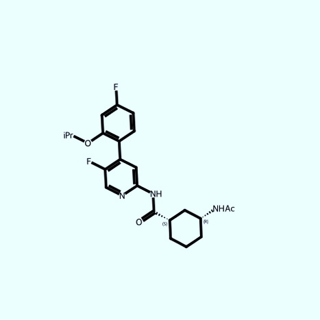 CC(=O)N[C@@H]1CCC[C@H](C(=O)Nc2cc(-c3ccc(F)cc3OC(C)C)c(F)cn2)C1